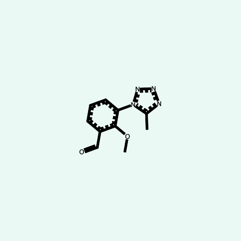 COc1c(C=O)cccc1-n1nnnc1C